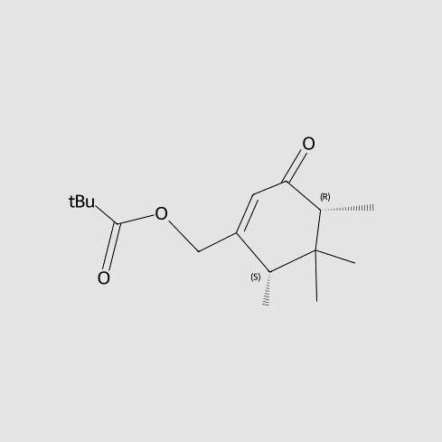 C[C@@H]1C(COC(=O)C(C)(C)C)=CC(=O)[C@H](C)C1(C)C